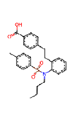 CCCCN(c1ccccc1CCc1ccc(C(=O)O)cc1)S(=O)(=O)c1ccc(C)cc1